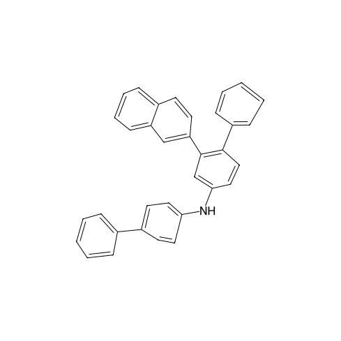 c1ccc(-c2ccc(Nc3ccc(-c4ccccc4)c(-c4ccc5ccccc5c4)c3)cc2)cc1